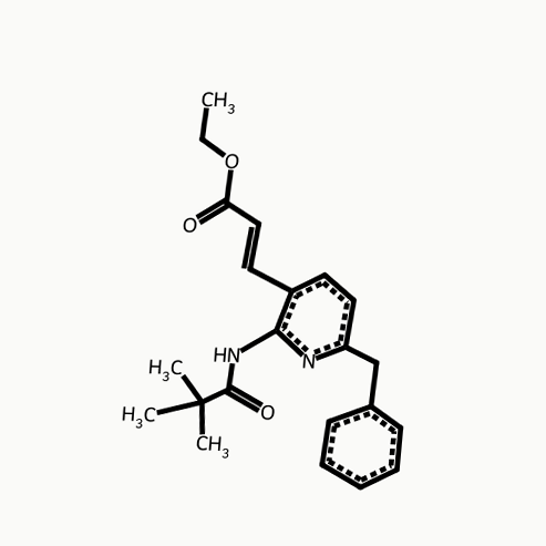 CCOC(=O)/C=C/c1ccc(Cc2ccccc2)nc1NC(=O)C(C)(C)C